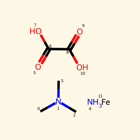 CN(C)C.N.O=C(O)C(=O)O.[Fe]